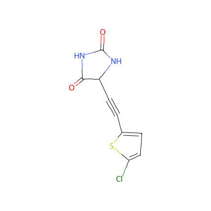 O=C1NC(=O)C(C#Cc2ccc(Cl)s2)N1